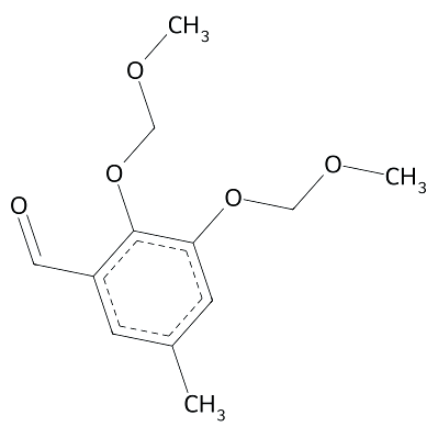 COCOc1cc(C)cc(C=O)c1OCOC